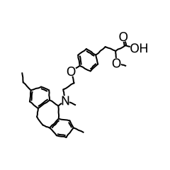 CCc1ccc2c(c1)CCc1ccc(C)cc1C2N(C)CCOc1ccc(CC(OC)C(=O)O)cc1